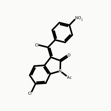 CC(=O)N1C(=O)/C(=C(/Cl)c2ccc([N+](=O)[O-])cc2)c2ccc(Cl)cc21